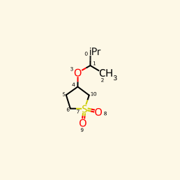 CC(C)C(C)OC1CCS(=O)(=O)C1